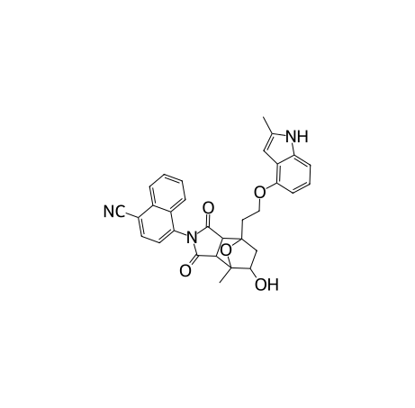 Cc1cc2c(OCCC34CC(O)C(C)(O3)C3C(=O)N(c5ccc(C#N)c6ccccc56)C(=O)C34)cccc2[nH]1